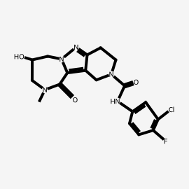 CN1CC(O)Cn2nc3c(c2C1=O)CN(C(=O)Nc1ccc(F)c(Cl)c1)CC3